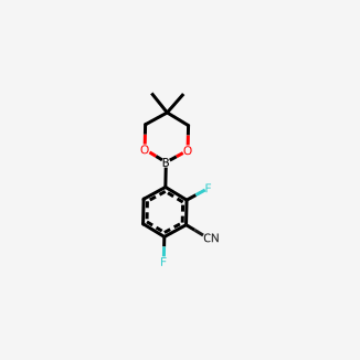 CC1(C)COB(c2ccc(F)c(C#N)c2F)OC1